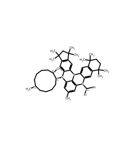 CC[C@H](C(C)C)N1c2cc3c(cc2B2c4cc5c(cc4N([C@H]4CCCC[C@@H](C)CCCC[C@H]4C)c4cc(C)cc1c42)C(C)(C)CC5(C)C)C(C)(C)CCC3(C)C